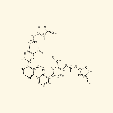 COc1cc(-c2ncnc(-c3cccc(-c4ccc(CNCC5CCC(=O)N5)c(OC)n4)c3Cl)c2Cl)ccc1CNCC1CCC(=O)N1